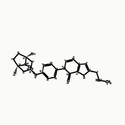 CNCc1cc2ncn(-c3ccc(O[C@H]4C[C@H]5CC[C@@H](C4)N5C)cc3)c(=O)c2s1